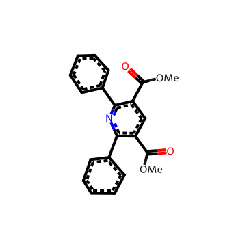 COC(=O)c1cc(C(=O)OC)c(-c2ccccc2)nc1-c1ccccc1